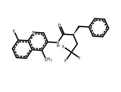 Cc1c(NC(=O)[C@@H](Cc2ccccc2)CC(F)(F)F)cnc2c(F)cccc12